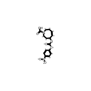 O=C(Oc1ccc([N+](=O)[O-])cc1)OC1C=CCCN(C(=O)O)CC1